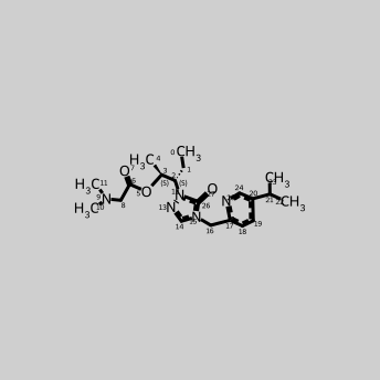 CC[C@@H]([C@H](C)OC(=O)CN(C)C)n1ncn(Cc2ccc(C(C)C)cn2)c1=O